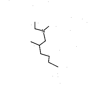 CCCCC(C)CN(C)CC